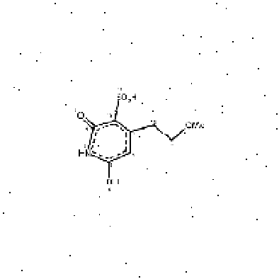 COCCc1cc(O)[nH]c(=O)c1S(=O)(=O)O